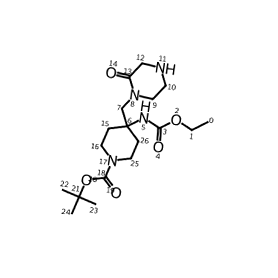 CCOC(=O)NC1(CN2CCNCC2=O)CCN(C(=O)OC(C)(C)C)CC1